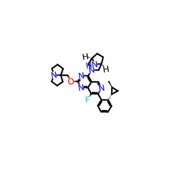 C[C@H]1C[C@@H]1c1ccccc1-c1ncc2c(N3C[C@H]4CC[C@@H](C3)N4)nc(OCC34CCCN3CCC4)nc2c1F